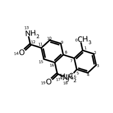 Cc1cccc(C)c1-c1ccc(C(N)=O)cc1C(N)=O